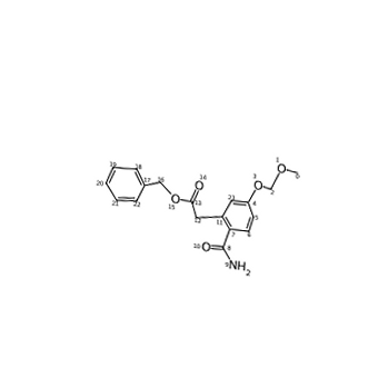 COCOc1ccc(C(N)=O)c(CC(=O)OCc2ccccc2)c1